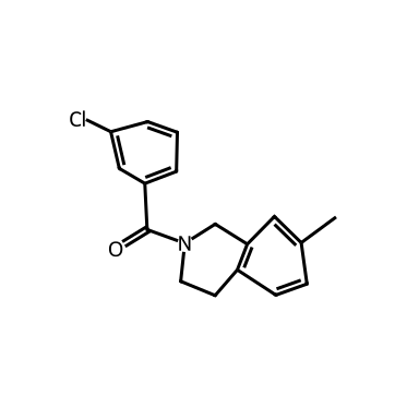 Cc1ccc2c(c1)CN(C(=O)c1cccc(Cl)c1)CC2